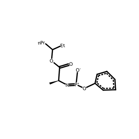 CCCC(CC)OC(=O)[C@H](C)N=[P+]([O-])Oc1ccccc1